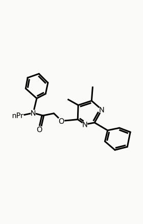 CCCN(C(=O)COc1nc(-c2ccccc2)nc(C)c1C)c1ccccc1